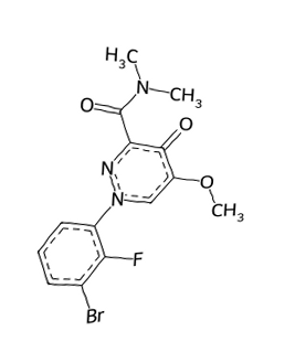 COc1cn(-c2cccc(Br)c2F)nc(C(=O)N(C)C)c1=O